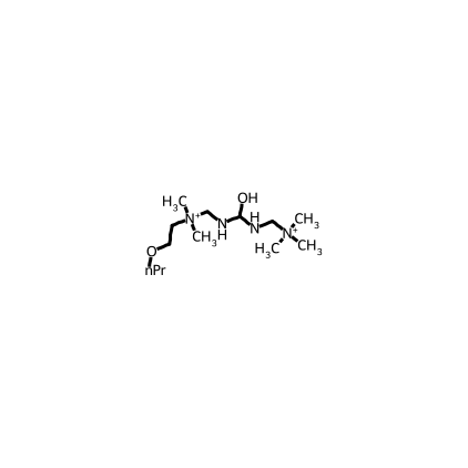 CCCOCC[N+](C)(C)CNC(O)NC[N+](C)(C)C